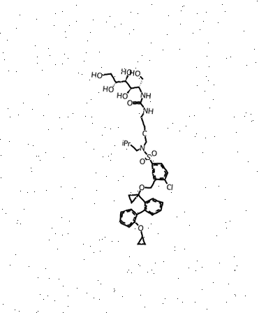 CC(C)CN(CCCCNC(=O)N[C@@H](CO)[C@@H](O)[C@H](O)[C@H](O)CO)S(=O)(=O)c1ccc(Cl)c(COC2(c3ccccc3-c3ccccc3OC3CC3)CC2)c1